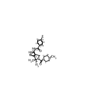 CN1CCN(C(=O)N2Cc3c(n[nH]c3NC(=O)c3ccc(F)cc3)C2(C)C)CC1